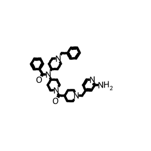 Nc1cc(CN2CCC(C(=O)N3CCC(N(C(=O)c4ccccc4)C4CCN(Cc5ccccc5)CC4)CC3)CC2)ccn1